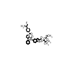 COC(=O)OC(OC(=O)c1cc2cc(NC(=O)[C@@H]3[C@@H](c4ccccc4)CCN3C(=O)[C@H]3CC[C@H]([C@H](N)CF)CC3)ccc2[nH]1)C(C)C